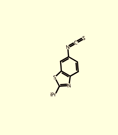 CC(C)c1nc2ccc(N=C=S)cc2s1